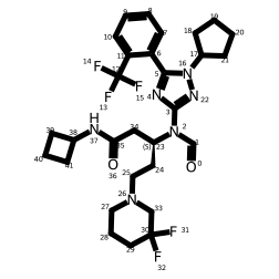 O=CN(c1nc(-c2ccccc2C(F)(F)F)n(C2CCCC2)n1)[C@@H](CCN1CCCC(F)(F)C1)CC(=O)NC1CCC1